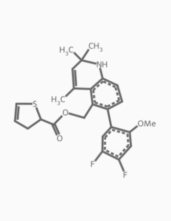 COc1cc(F)c(F)cc1-c1ccc2c(c1COC(=O)C1CC=CS1)C(C)=CC(C)(C)N2